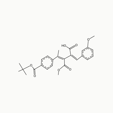 COC(=O)C(C(=Cc1cccc(OC)c1)C(=O)O)=C(C)c1ccc(C(=O)OC(C)(C)C)cc1